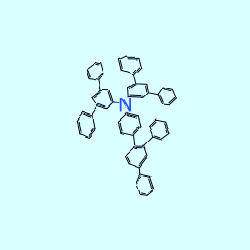 c1ccc(-c2cc(-c3ccccc3)cc(N(c3ccc(-c4ccc(-c5ccccc5)cc4-c4ccccc4)cc3)c3cc(-c4ccccc4)cc(-c4ccccc4)c3)c2)cc1